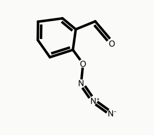 [N-]=[N+]=NOc1ccccc1C=O